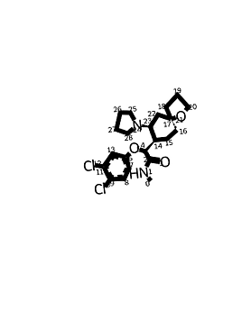 CNC(=O)C(Oc1ccc(Cl)c(Cl)c1)[C@@H]1CC[C@@]2(CCCO2)C[C@@H]1N1CCCC1